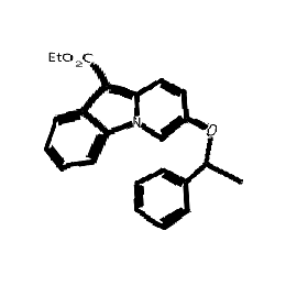 CCOC(=O)c1c2ccccc2n2cc(OC(C)c3ccccc3)ccc12